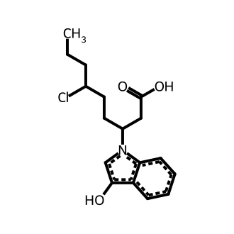 CCCC(Cl)CCC(CC(=O)O)n1cc(O)c2ccccc21